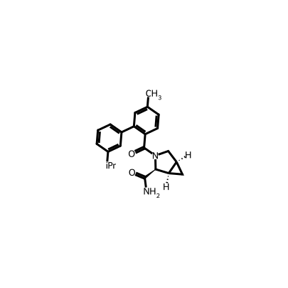 Cc1ccc(C(=O)N2C[C@H]3C[C@H]3[C@H]2C(N)=O)c(-c2cccc(C(C)C)c2)c1